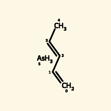 C=CC=CC.[AsH3]